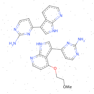 COCCOc1ccnc2[nH]cc(-c3ccnc(N)n3)c12.Nc1nccc(-c2c[nH]c3ncccc23)n1